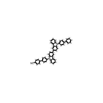 N#Cc1ccc(-c2ccc(-n3c4ccccc4c4cc(-c5ccc6c(c5)c5ccccc5n6-c5ccc(-c6ccccc6)cc5)ccc43)cc2)cc1